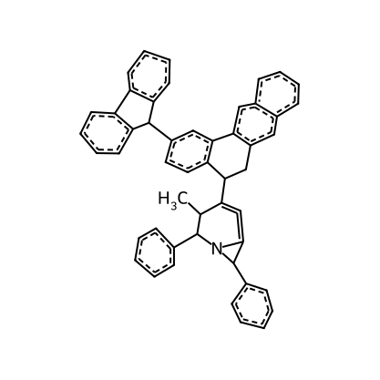 CC1C(C2Cc3cc4ccccc4cc3-c3cc(C4c5ccccc5-c5ccccc54)ccc32)=C=C2C(c3ccccc3)N2C1c1ccccc1